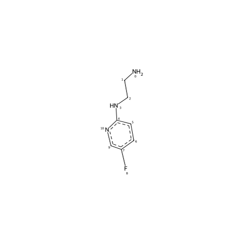 NCCNc1ccc(F)cn1